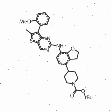 COc1ccccc1-c1c(C)sc2cnc(Nc3ccc(C4CCN(C(=O)OC(C)(C)C)CC4)c4c3OCC4)nc12